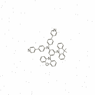 CC1(C)c2ccccc2N(c2cc(N(c3ccc(-c4ccncc4)cc3)c3ccc(-c4ccncc4)cc3)cc(N3c4ccccc4Oc4ccccc43)c2)c2ccccc21